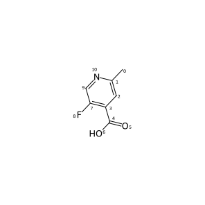 Cc1cc(C(=O)O)c(F)cn1